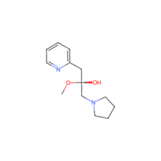 CO[C@](O)(Cc1ccccn1)CN1CCCC1